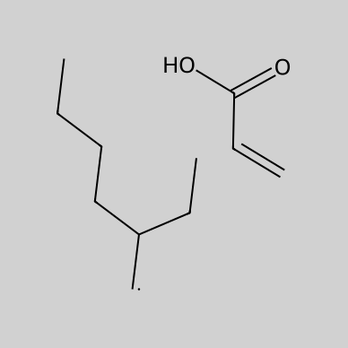 C=CC(=O)O.[CH2]C(CC)CCCC